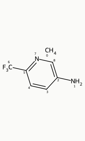 C.Nc1ccc(C(F)(F)F)nc1